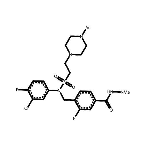 CNNC(=O)c1ccc(CN(c2ccc(F)c(Cl)c2)S(=O)(=O)CCN2CCN(C(C)=O)CC2)c(F)c1